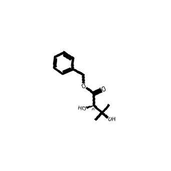 CC(C)(O)[C@@H](O)C(=O)OCc1ccccc1